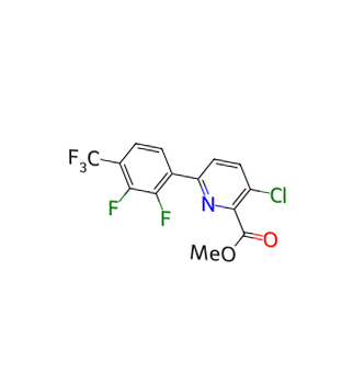 COC(=O)c1nc(-c2ccc(C(F)(F)F)c(F)c2F)ccc1Cl